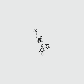 Cc1cc(OCc2nn(COCCS(C)(C)C)c(=O)n2C)c(-c2cnccn2)cc1Cl